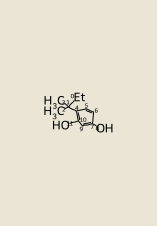 CCC(C)(C)c1ccc(O)cc1O